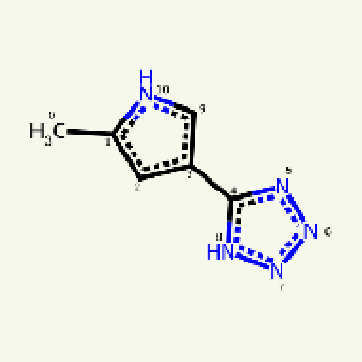 Cc1cc(-c2nnn[nH]2)c[nH]1